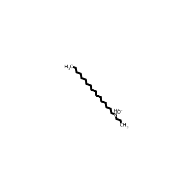 CCCCCCCCCCCCCCCCC[NH+]([O-])CCC